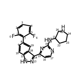 Fc1cccc(F)c1-c1ccc2[nH]nc(-c3ccnc(NC4CCCNC4)n3)c2c1